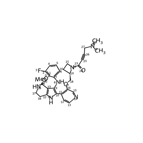 COc1c(F)cccc1Nc1c(-c2ccncc2OC[C@H]2CCN2C(=O)C#CCN(C)C)[nH]c2c1C(=O)NCC2